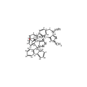 CCCN(Cc1ccc(-c2ccccc2-c2nnnn2C(c2ccccc2)(c2ccccc2)c2ccccc2)cc1)c1nn(C)cc1C(=O)OCC